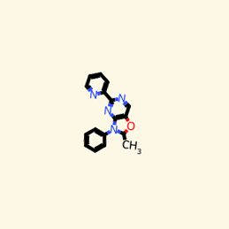 CC1Oc2cnc(-c3ccccn3)nc2N1c1ccccc1